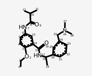 CCOc1ccc(NC(=O)C(C)C)cc1C(=O)NC(C)c1cccc(CN(C)C)c1